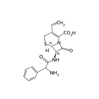 C=CC1=C(C(=O)O)N2C(=O)[C@@H](NC(=O)C(N)c3ccccc3)[C@H]2SC1